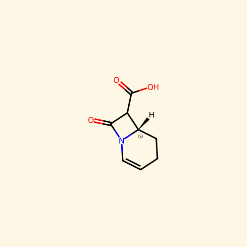 O=C(O)C1C(=O)N2C=CCC[C@@H]12